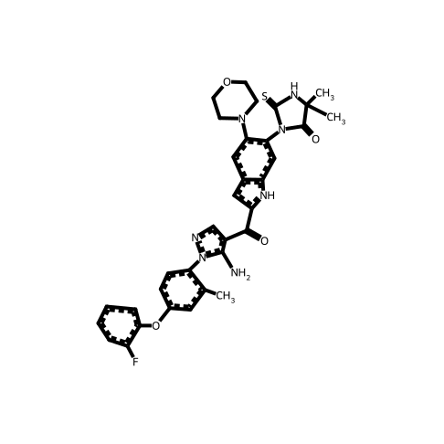 Cc1cc(Oc2ccccc2F)ccc1-n1ncc(C(=O)c2cc3cc(N4CCOCC4)c(N4C(=O)C(C)(C)NC4=S)cc3[nH]2)c1N